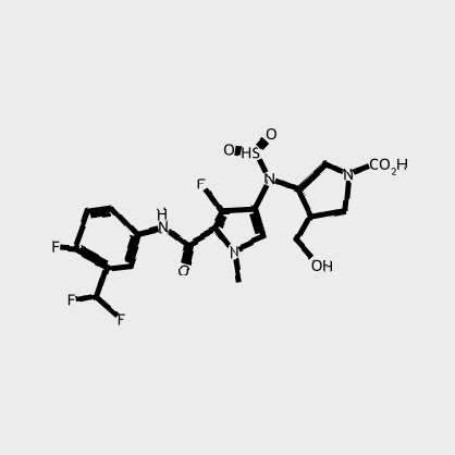 Cn1cc(N(C2CN(C(=O)O)CC2CO)[SH](=O)=O)c(F)c1C(=O)Nc1ccc(F)c(C(F)F)c1